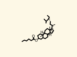 CCCCCC(=O)OC1CC[C@@]2(C)C(CC[C@H]3[C@@H]4CC[C@H]([C@H](C)CC[C@@H](CC)C(C)C)[C@@]4(C)CC[C@@H]32)C1